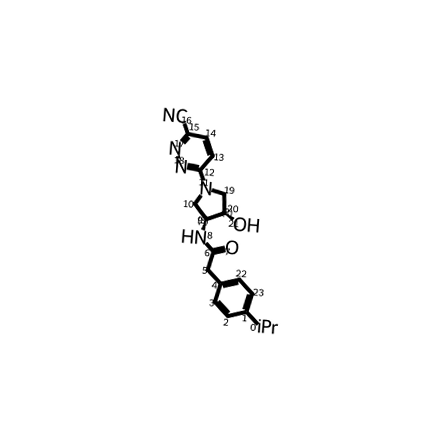 CC(C)c1ccc(CC(=O)N[C@H]2CN(c3ccc(C#N)nn3)C[C@H]2O)cc1